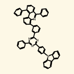 c1ccc(-c2nc(-c3ccc(-n4c5ccccc5c5ccccc54)cc3)nc(-c3cccc(-c4cccc5c4nc(-c4ccccc4)c4cccc(-c6ccccc6)c45)c3)n2)cc1